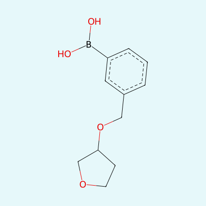 OB(O)c1cccc(COC2CCOC2)c1